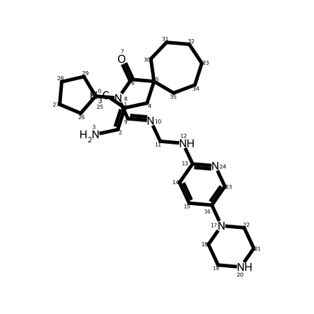 C/C(=C\N)CC1(C(=O)N(/C=N/CNc2ccc(N3CCNCC3)cn2)C2CCCC2)CCCCCC1